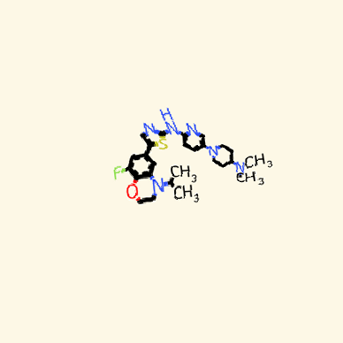 CC(C)N1CCOc2c(F)cc(-c3cnc(Nc4ccc(N5CCC(N(C)C)CC5)cn4)s3)cc21